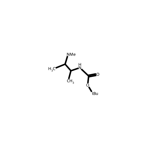 CNC(C)C(C)NC(=O)OC(C)(C)C